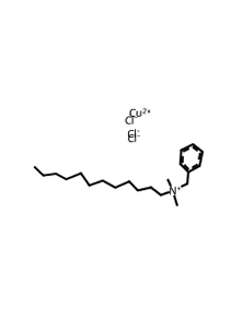 CCCCCCCCCCCC[N+](C)(C)Cc1ccccc1.[Cl-].[Cl-].[Cl-].[Cu+2]